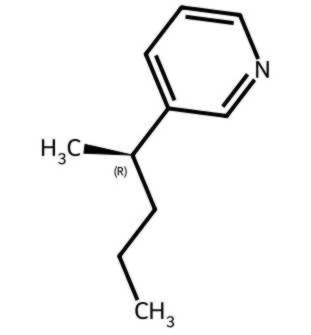 CCC[C@@H](C)c1cccnc1